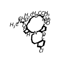 CC1/C=C/[C@H](OC(=O)N(C)C)[C@@H]2CC[C@H]2CN2CCCCc3cc(Cl)ccc3COc3ccc(cc32)S(=O)(=O)NC(=O)C(C)(C)O1